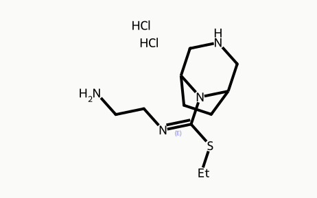 CCS/C(=N/CCN)N1C2CCC1CNC2.Cl.Cl